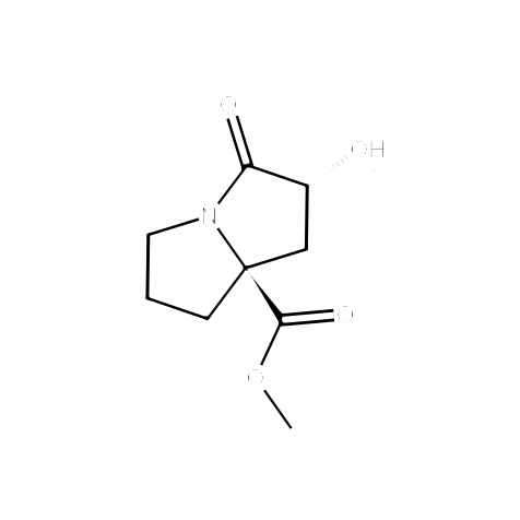 COC(=O)[C@@]12CCCN1C(=O)[C@H](O)C2